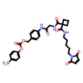 O=C(CNC(=O)C1(C(=O)NCCCCCN2C(=O)C=CC2=O)CCC1)Nc1ccc(COC(=O)Oc2ccc([N+](=O)[O-])cc2)cc1